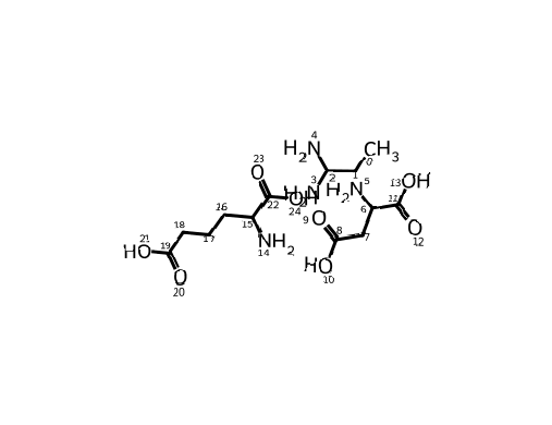 CCC(N)N.NC(CC(=O)O)C(=O)O.NC(CCCC(=O)O)C(=O)O